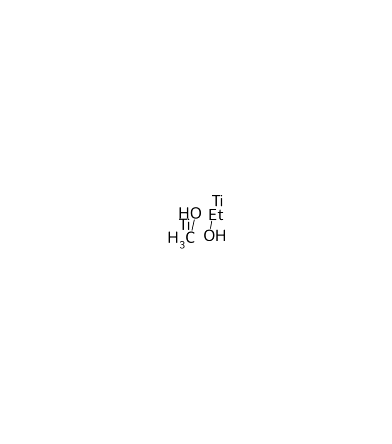 CCO.CO.[Ti].[Ti]